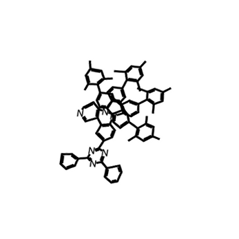 Cc1cc(C)c(-c2ccc3c(c2)c2cc(-c4c(C)cc(C)cc4C)ccc2n3-c2ccncc2-c2cc(-c3nc(-c4ccccc4)nc(-c4ccccc4)n3)ccc2-n2c3ccc(-c4c(C)cc(C)cc4C)cc3c3cc(-c4c(C)cc(C)cc4C)ccc32)c(C)c1